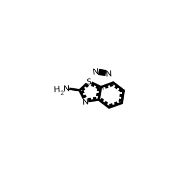 N#N.Nc1nc2ccccc2s1